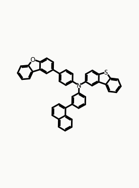 c1cc(-c2cccc3ccccc23)cc(N(c2ccc(-c3ccc4oc5ccccc5c4c3)cc2)c2ccc3sc4ccccc4c3c2)c1